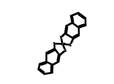 c1ccc2cc3c(cc2c1)S[N+]1(S3)Sc2cc3ccccc3cc2S1